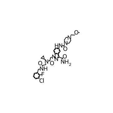 COCCN1CCN(C(=O)Nc2ccc3c(c2)c(C(N)=O)nn3CC(=O)N(CC(=O)NCc2cccc(Cl)c2F)C2CC2)CC1